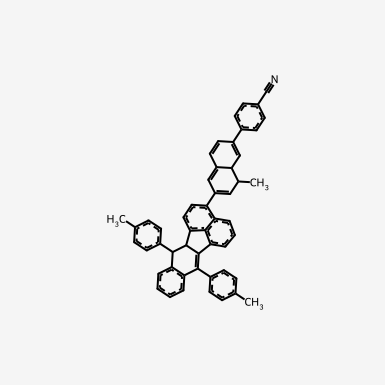 Cc1ccc(C2=C3c4cccc5c(C6=CC(C)C7C=C(c8ccc(C#N)cc8)C=CC7=C6)ccc(c45)C3C(c3ccc(C)cc3)c3ccccc32)cc1